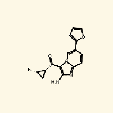 Nc1nc2ccc(-c3ccco3)cn2c1C(=O)[C@@H]1C[C@@H]1F